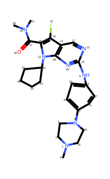 CN1CCN(c2ccc(Nc3ncc4c(F)c(C(=O)N(C)C)n(C5CCCC5)c4n3)cc2)CC1